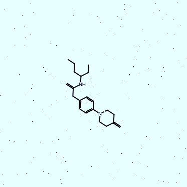 C=C1CCN(c2ccc(CC(=C)NC(CC)CCC)cc2)CC1